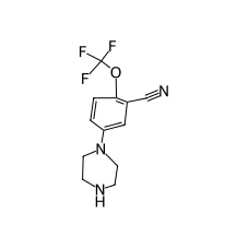 N#Cc1cc(N2CCNCC2)ccc1OC(F)(F)F